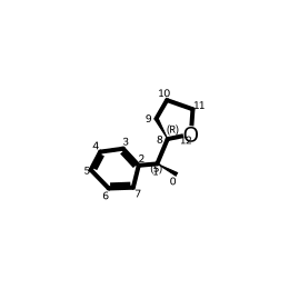 C[C@@H](c1ccccc1)[C@H]1CCCO1